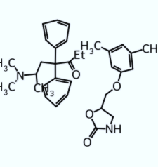 CCC(=O)C(CC(C)N(C)C)(c1ccccc1)c1ccccc1.Cc1cc(C)cc(OCC2CNC(=O)O2)c1